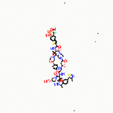 Cc1ncsc1-c1ccc(C(C)NC(=O)[C@@H]2C[C@@H](O)CN2C(=O)C(NC(=O)CNC(=O)CC(=O)N2CCN(C(=O)C(NC(=O)c3cc4cc(C(F)(F)P(=O)(O)O)ccc4s3)C(C)(C)C)[C@H](C(=O)N3CCO[C@H](c4ccccc4)C3)C2)C(C)(C)C)cc1